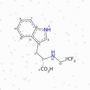 O=C(O)[C@H](Cc1c[nH]c2ccccc12)NCC(F)(F)F